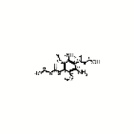 COc1c(N)c(NCCO)c(N)c(OC)c1CNCCO